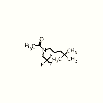 CC(=O)N(CCCC(C)(C)C)CC(F)(F)F